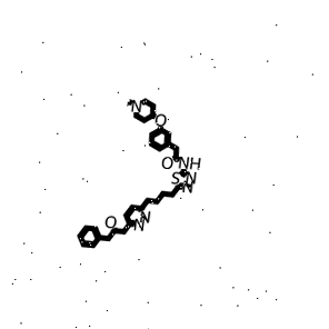 CN1CCC(Oc2cccc(CC(=O)Nc3nnc(CCCCc4ccc(CC(=O)Cc5ccccc5)nn4)s3)c2)CC1